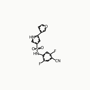 N#Cc1cc(F)c(NS(=O)(=O)c2c[nH]c(-c3ccoc3)c2)cc1F